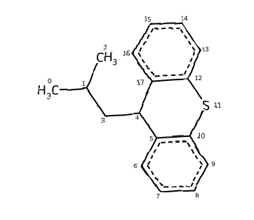 CC(C)CC1c2ccccc2Sc2ccccc21